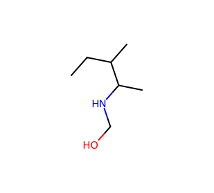 CCC(C)C(C)NCO